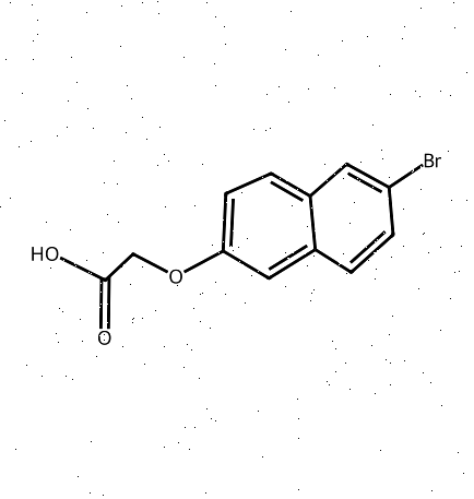 O=C(O)COc1ccc2cc(Br)ccc2c1